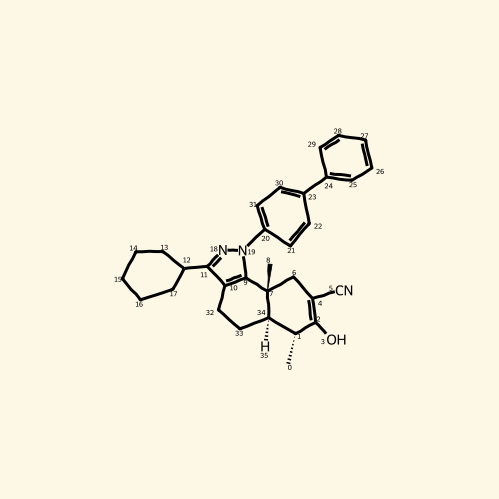 C[C@H]1C(O)=C(C#N)C[C@@]2(C)c3c(c(C4CCCCC4)nn3-c3ccc(-c4ccccc4)cc3)CC[C@H]12